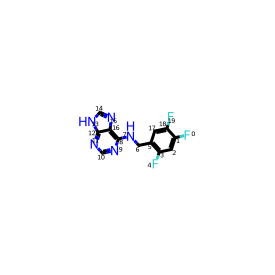 Fc1cc(F)c(CNc2ncnc3[nH]cnc23)cc1F